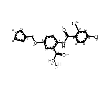 O=C(Nc1ccc(OCc2ccsc2)cc1C(=O)O)c1ccc(Cl)cc1Cl.[LiH]